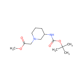 COC(=O)CN1CCCC(NC(=O)OC(C)(C)C)C1